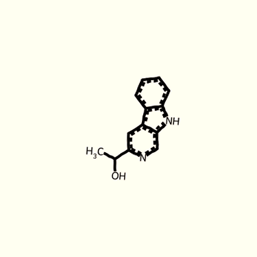 CC(O)c1cc2c(cn1)[nH]c1ccccc12